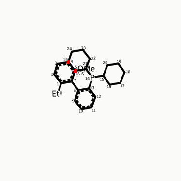 CCc1cccc(OC)c1-c1ccccc1P(C1CCCCC1)C1CCCCC1